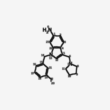 Nc1ccc2c(CN3CCCC3)cn(Cc3cccc(F)c3)c2c1